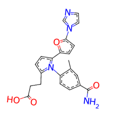 Cc1cc(C(N)=O)ccc1-n1c(CCC(=O)O)ccc1-c1ccc(-n2ccnc2)o1